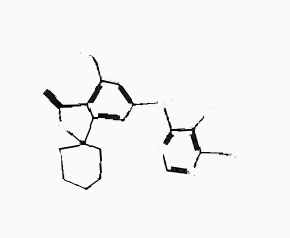 Nc1ncnc(Nc2cc(Cl)c3c(c2)C2(CCCCC2)NC3=O)c1Cl